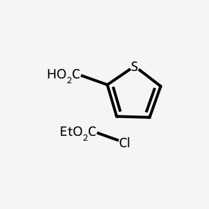 CCOC(=O)Cl.O=C(O)c1cccs1